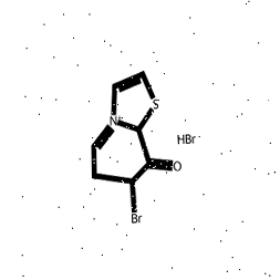 Br.O=C1C(Br)CC=[N+]2C=CSC12